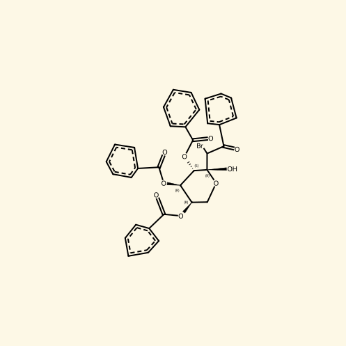 O=C(O[C@@H]1[C@H](OC(=O)c2ccccc2)CO[C@@](O)(C(Br)C(=O)c2ccccc2)[C@H]1OC(=O)c1ccccc1)c1ccccc1